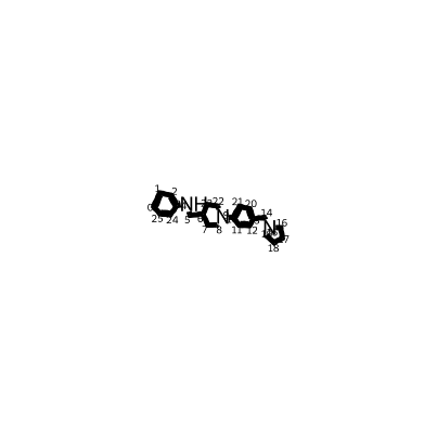 c1ccc(NCC2CCN(c3ccc(CN4CCCC4)cc3)CC2)cc1